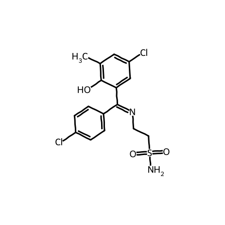 Cc1cc(Cl)cc(C(=NCCS(N)(=O)=O)c2ccc(Cl)cc2)c1O